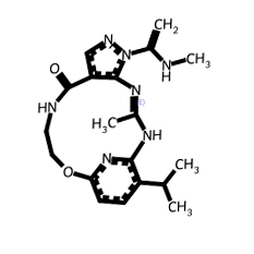 C=C(NC)n1ncc2c1/N=C(\C)Nc1nc(ccc1C(C)C)OCCNC2=O